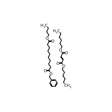 CCCCCCOC(=O)C=CC(=O)OCCCCCC.CCCCOC(=O)CCCCCCCCC(=O)OCc1ccccc1